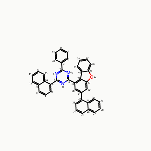 c1ccc(-c2nc(-c3cccc4ccccc34)nc(-c3cc(-c4cccc5ccccc45)cc4oc5ccccc5c34)n2)cc1